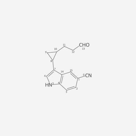 N#Cc1ccc2[nH]cc(C3CC3CCC=O)c2c1